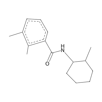 Cc1cccc(C(=O)NC2CCCCC2C)c1C